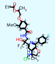 CCC(=O)OC(C)COc1ccc(C(=O)NCC(O)(c2cc3c(c(-c4ccc(F)cc4)n2)OCC3(C)NCl)C(F)(F)F)cc1OC